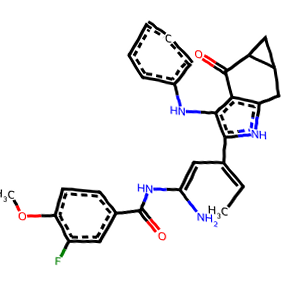 C/C=C(\C=C(/N)NC(=O)c1ccc(OC)c(F)c1)c1[nH]c2c(c1Nc1ccccc1)C(=O)C1CC1C2